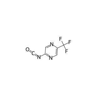 O=C=Nc1cnc(C(F)(F)F)cn1